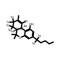 [2H]C1=C(C)C([2H])([2H])C([2H])([2H])[C@@]2([2H])C(C)(C)Oc3cc(C([2H])([2H])CCCC)cc(O)c3[C@]12[2H]